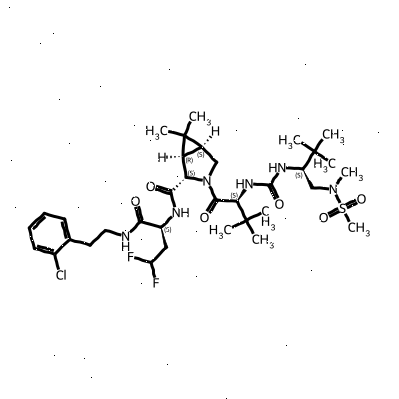 CN(C[C@@H](NC(=O)N[C@H](C(=O)N1C[C@H]2[C@@H]([C@H]1C(=O)N[C@@H](CC(F)F)C(=O)NCCc1ccccc1Cl)C2(C)C)C(C)(C)C)C(C)(C)C)S(C)(=O)=O